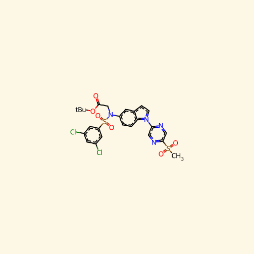 CC(C)(C)OC(=O)CN(c1ccc2c(ccn2-c2cnc(S(C)(=O)=O)cn2)c1)S(=O)(=O)c1cc(Cl)cc(Cl)c1